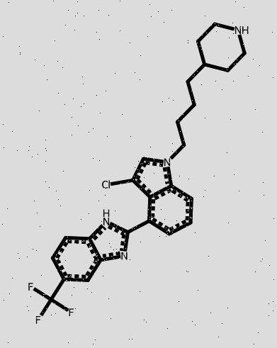 FC(F)(F)c1ccc2[nH]c(-c3cccc4c3c(Cl)cn4CCCCC3CCNCC3)nc2c1